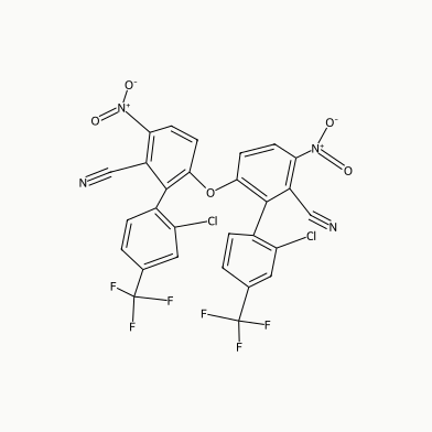 N#Cc1c([N+](=O)[O-])ccc(Oc2ccc([N+](=O)[O-])c(C#N)c2-c2ccc(C(F)(F)F)cc2Cl)c1-c1ccc(C(F)(F)F)cc1Cl